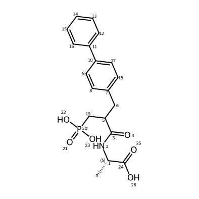 C[C@H](NC(=O)C(Cc1ccc(-c2ccccc2)cc1)CP(=O)(O)O)C(=O)O